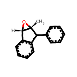 C[C@]12O[C@H]1c1ccccc1C2c1ccccc1